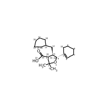 CC1(C)O[C@@H](C2=CCCCC2)[C@H](CC2CCCCC2)N1C(=O)O